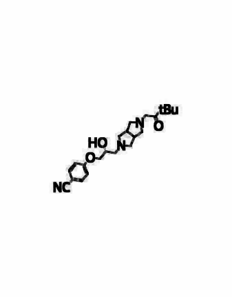 CC(C)(C)C(=O)CN1CC2CN(C[C@@H](O)COc3ccc(C#N)cc3)CC2C1